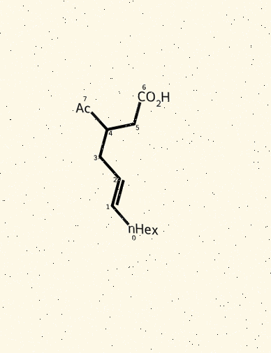 CCCCCCC=CCC(CC(=O)O)C(C)=O